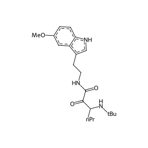 CCCC(NC(C)(C)C)C(=O)C(=O)NCCc1c[nH]c2ccc(OC)cc12